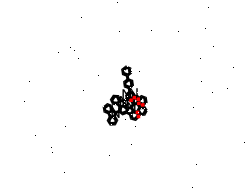 c1ccc(-c2ccc(-c3nc(-c4ccccc4)nc(-n4c5ccccc5c5c(-n6c7ccccc7c7ccccc76)cc6c7ccccc7n(-c7ccccc7-c7ccccc7)c6c54)n3)cc2)cc1